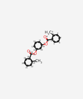 Cc1ccccc1C(=O)Oc1cccc(OC(=O)c2ccccc2C)c1